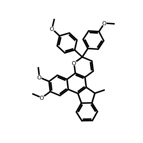 COc1ccc(C2(c3ccc(OC)cc3)C=Cc3c4c(c5cc(OC)c(OC)cc5c3O2)-c2ccccc2C4C)cc1